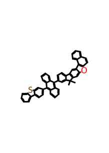 CC1(C)c2cc(-c3c4ccccc4c(-c4ccc5c(c4)sc4ccccc45)c4ccccc34)ccc2-c2cc3c(cc21)oc1ccc2ccccc2c13